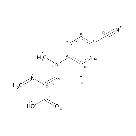 C=N/C(=C\N(C)c1ccc(C#N)cc1F)C(=O)O